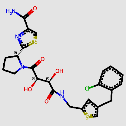 NC(=O)c1csc([C@H]2CCCN2C(=O)[C@H](O)[C@@H](O)C(=O)NCc2cc(Cc3ccccc3Cl)cs2)n1